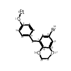 CCOc1ccc(Cc2cc(Br)cc3c2OCCO3)cc1